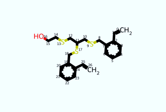 C=Cc1ccccc1CSCC(CSCCO)SCc1ccccc1C=C